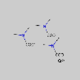 CN(C)C(=O)[O-].CN(C)C(=O)[O-].CN(C)C(=O)[O-].[Cr+3]